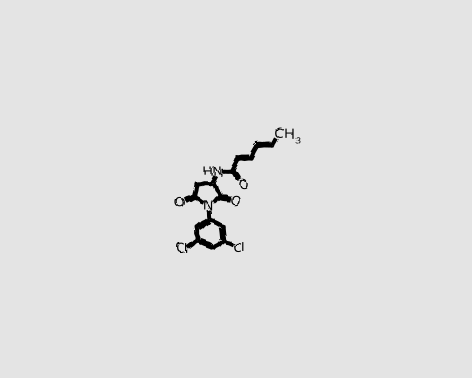 CC=CC=CC(=O)NC1CC(=O)N(c2cc(Cl)cc(Cl)c2)C1=O